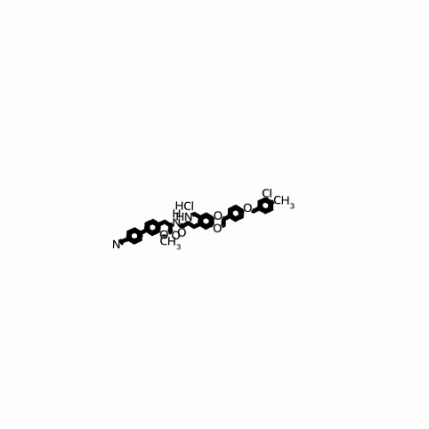 COC(=O)C(Cc1ccc(-c2ccc(C#N)cc2)cc1)NC(=O)C1Cc2cc3c(cc2CN1)OC(c1ccc(OCc2ccc(C)c(Cl)c2)cc1)CO3.Cl